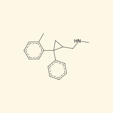 CNCC1CC1(c1ccccc1)c1ccccc1C